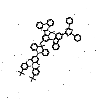 CC(C)(C)c1ccc2c(c1)B1c3cc(C(C)(C)C)ccc3Oc3cc(N4c5ccccc5C(C)(Cc5cc6c(c(-n7c8ccccc8c8cc(-c9nc(-c%10ccccc%10)nc(-c%10ccccc%10)n9)ccc87)c5)C(=O)N(c5ccccc5-c5ccccc5)C6=O)c5ccccc54)cc(c31)O2